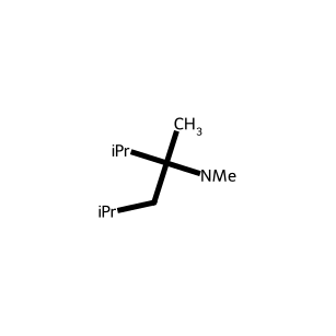 CNC(C)(CC(C)C)C(C)C